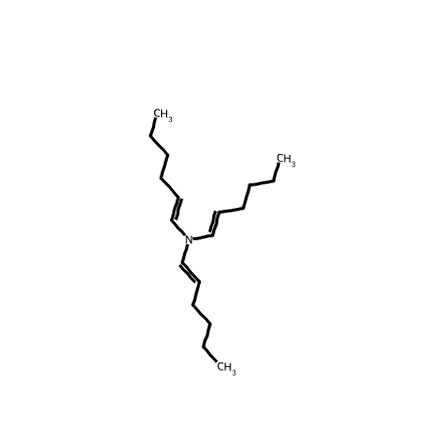 CCCCC=CN(C=CCCCC)C=CCCCC